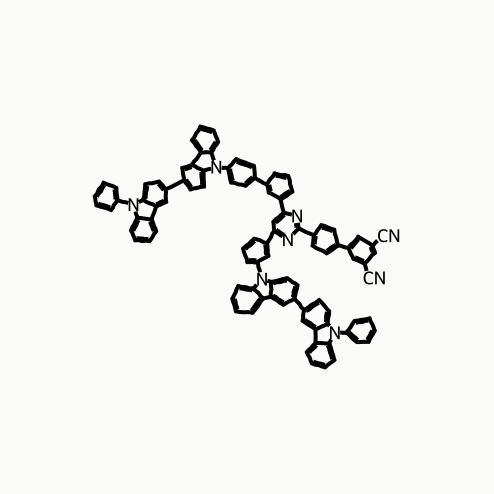 N#Cc1cc(C#N)cc(-c2ccc(-c3nc(-c4cccc(-c5ccc(-n6c7ccccc7c7cc(-c8ccc9c(c8)c8ccccc8n9-c8ccccc8)ccc76)cc5)c4)cc(-c4cccc(-n5c6ccccc6c6cc(-c7ccc8c(c7)c7ccccc7n8-c7ccccc7)ccc65)c4)n3)cc2)c1